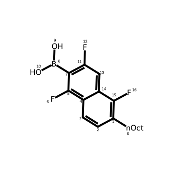 CCCCCCCCc1ccc2c(F)c(B(O)O)c(F)cc2c1F